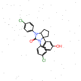 O=C1N(c2ccc(Cl)cc2)C2CCCC2(c2cccc(O)c2)N1c1ccc(Cl)cc1